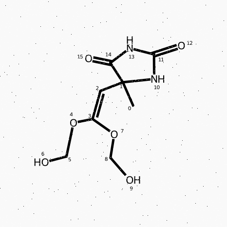 CC1(C=C(OCO)OCO)NC(=O)NC1=O